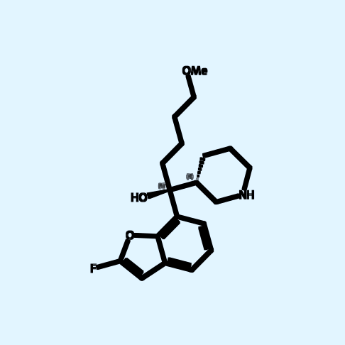 COCCCC[C@@](O)(c1cccc2cc(F)oc12)[C@@H]1CCCNC1